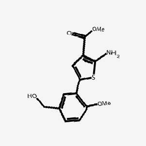 COC(=O)c1cc(-c2cc(CO)ccc2OC)sc1N